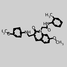 COc1ccc(NCc2cc3ccc(OC)cc3n(CC(=O)Nc3ccccc3C)c2=O)cc1